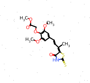 COC(=O)COc1c(OC)cc(/C=C/C(C)=C2/SC(=S)NC2=O)cc1OC